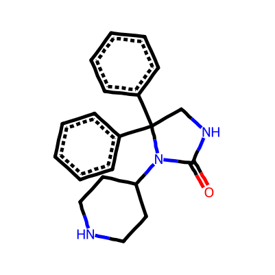 O=C1NCC(c2ccccc2)(c2ccccc2)N1C1CCNCC1